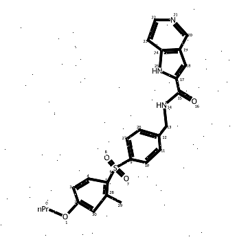 CCCOc1ccc(S(=O)(=O)c2ccc(CNC(=O)c3cc4cnccc4[nH]3)cc2)c(C)c1